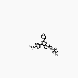 CNS(=O)(=O)N1CC(C)(N2CCc3c(-c4cnc(N)nc4)nc(N4CCOCC4)nc32)C1